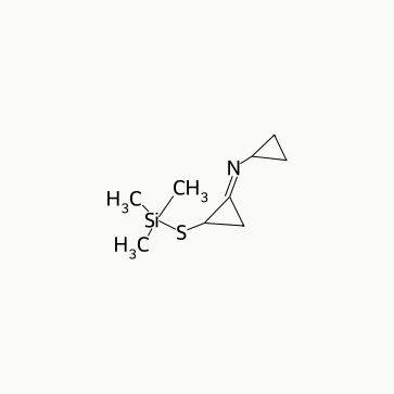 C[Si](C)(C)SC1CC1=NC1CC1